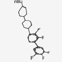 CCCCC1CCC(C2CCC(c3ccc(-c4cc(F)c(F)c(F)c4)c(F)c3F)CC2)CC1